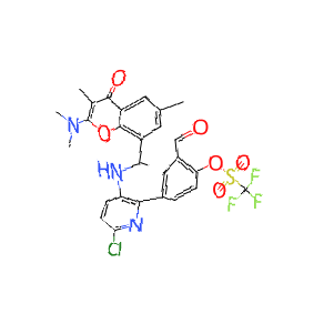 Cc1cc(C(C)Nc2ccc(Cl)nc2-c2ccc(OS(=O)(=O)C(F)(F)F)c(C=O)c2)c2oc(N(C)C)c(C)c(=O)c2c1